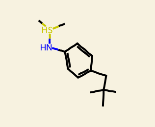 C[SH](C)Nc1ccc(CC(C)(C)C)cc1